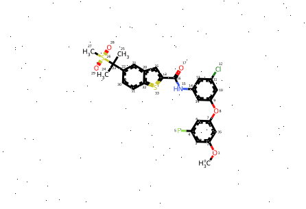 COc1cc(F)cc(Oc2cc(Cl)cc(NC(=O)c3cc4cc(C(C)(C)S(C)(=O)=O)ccc4s3)c2)c1